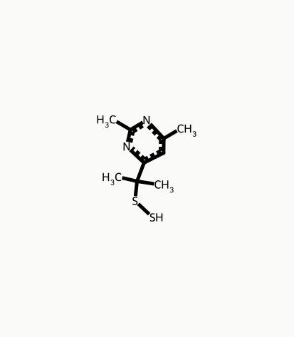 Cc1cc(C(C)(C)SS)nc(C)n1